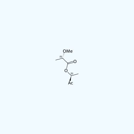 CO[C@@H](C)C(=O)O[C@@H](C)C(C)=O